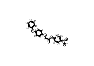 CC(COc1ccc(Oc2ccccc2)cc1)Oc1ccc([N+](=O)[O-])cn1